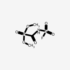 COP(=O)(OC)C(=O)NS(=O)(=O)F